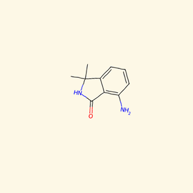 CC1(C)NC(=O)c2c(N)cccc21